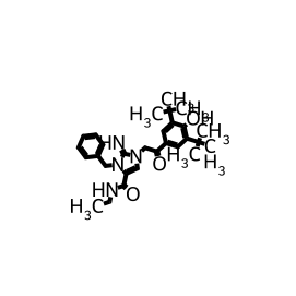 CCNC(=O)c1cn(CC(=O)c2cc(C(C)(C)C)c(O)c(C(C)(C)C)c2)c(=N)n1Cc1ccccc1